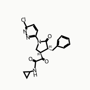 O=C(NC1CC1)C(=O)[C@H]1CN(c2ccc(Cl)nn2)C(=O)[C@@H]1Cc1ccccc1